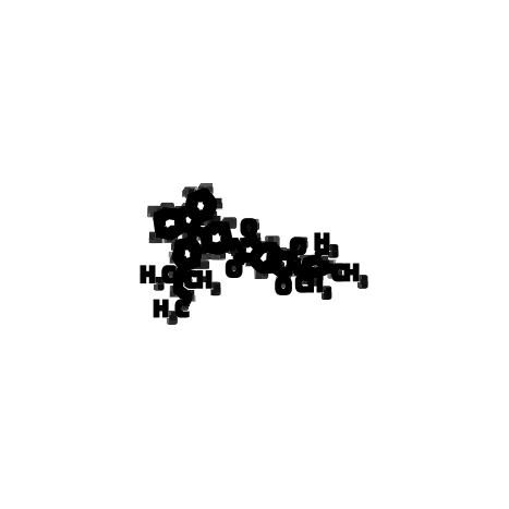 CCCC(C)(C)c1ccc(C2(c3ccc(N4C(=O)C5C6C=CC(C5C4=O)C4C(=O)N(C(C)(CC)CCC)C(=O)C64)cc3)c3ccccc3-c3ccccc32)cc1